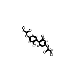 O=C(CCl)Oc1ccc(-c2ccc(OC(=O)CCl)cc2Cl)c(Cl)c1